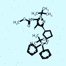 COC(=O)Nc1c(I)c([C@H]2CC[C@@H](O[Si](c3ccccc3)(c3ccccc3)C(C)(C)C)C2)nn1C(C)(C)C